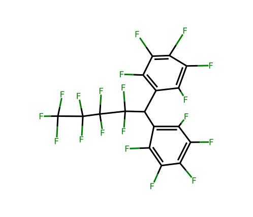 Fc1c(F)c(F)c(C(c2c(F)c(F)c(F)c(F)c2F)C(F)(F)C(F)(F)C(F)(F)C(F)(F)F)c(F)c1F